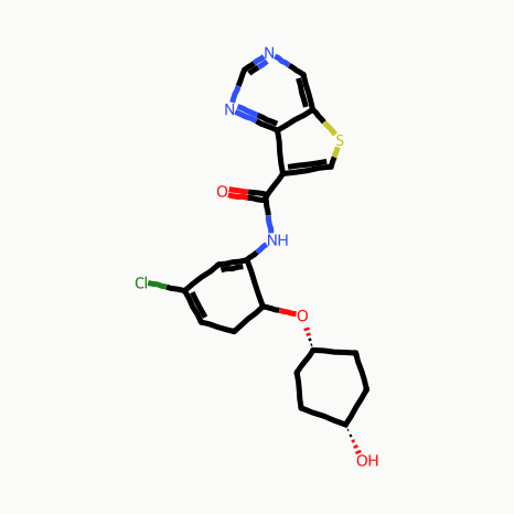 O=C(NC1=CC(Cl)=CCC1O[C@H]1CC[C@@H](O)CC1)c1csc2cncnc12